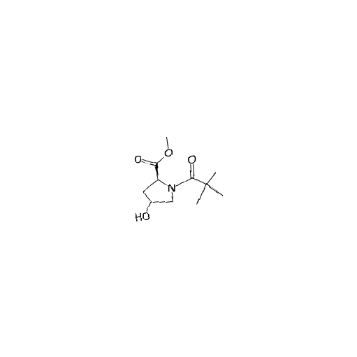 COC(=O)[C@@H]1CC(O)CN1C(=O)C(C)(C)C